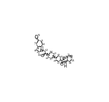 COc1ccc2c(c1)cc(C)n2CC(=O)N1CCN(c2ccc(S(=O)(=O)Nc3ccncn3)cc2)CC1